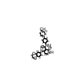 CN1CCN(c2ccc(NC(=O)c3c(Nc4ccc5c(c4)OCCO5)cc[nH]c3=O)cc2)CC1